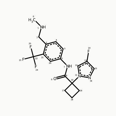 CNCc1ccc(NC(=O)C2(n3cc(F)cn3)CCC2)cc1C(F)(F)F